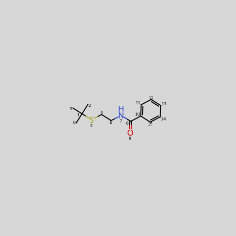 CC(C)(C)SCCNC(=O)c1ccccc1